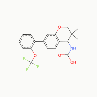 CC1(C)COc2cc(-c3ccccc3OC(F)(F)F)ccc2C1NC(=O)O